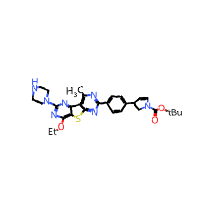 CCOc1nc(N2CCNCC2)nc2c1sc1nc(-c3ccc(C4C=CN(C(=O)OC(C)(C)C)C4)cc3)nc(C)c12